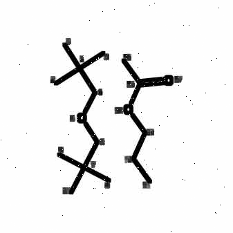 CC(C)(C)COCC(C)(C)C.CCCOC(C)=O